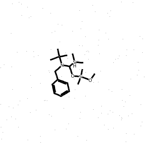 CO[Si](C)(C)OC(N(Cc1ccccc1)C(C)(C)C)[SiH](C)C